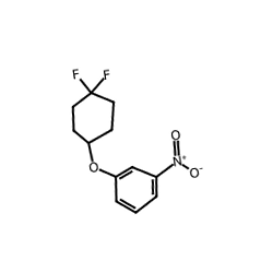 O=[N+]([O-])c1cccc(OC2CCC(F)(F)CC2)c1